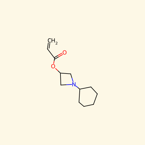 C=CC(=O)OC1CN(C2CCCCC2)C1